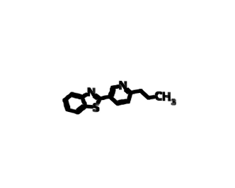 CCCc1ccc(-c2nc3ccccc3s2)cn1